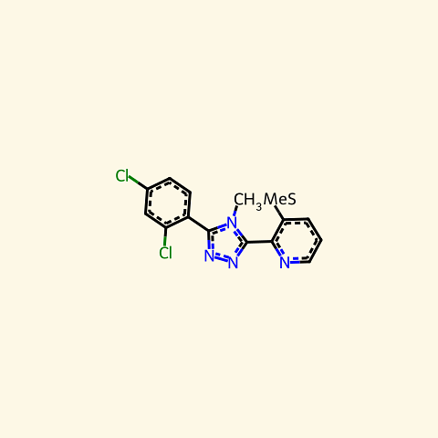 CSc1cccnc1-c1nnc(-c2ccc(Cl)cc2Cl)n1C